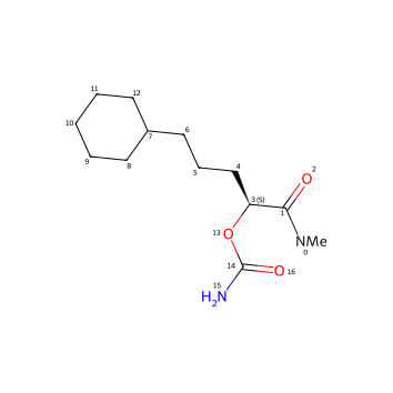 CNC(=O)[C@H](CCCC1CCCCC1)OC(N)=O